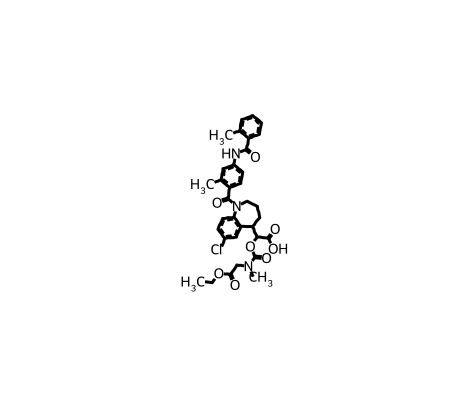 CCOC(=O)CN(C)C(=O)OC(C(=O)O)C1CCCN(C(=O)c2ccc(NC(=O)c3ccccc3C)cc2C)c2ccc(Cl)cc21